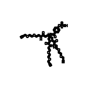 C#CCOCCOCCNC(=O)CCC(CCC(=O)NCCOCCOCC#C)(CCC(=O)NCCOCCOCC#C)NC(=O)c1ccc(OP(C)(=O)S)cc1